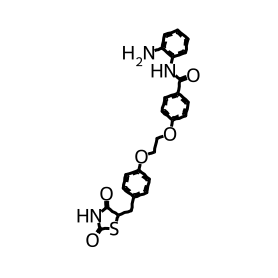 Nc1ccccc1NC(=O)c1ccc(OCCOc2ccc(CC3SC(=O)NC3=O)cc2)cc1